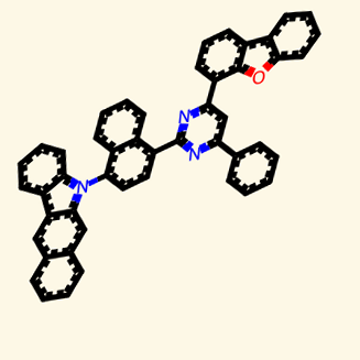 c1ccc(-c2cc(-c3cccc4c3oc3ccccc34)nc(-c3ccc(-n4c5ccccc5c5cc6ccccc6cc54)c4ccccc34)n2)cc1